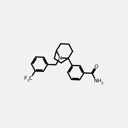 NC(=O)c1cccc(C23CCCC(CC2)N3Cc2cccc(C(F)(F)F)c2)c1